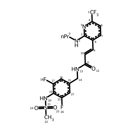 CCCNc1nc(C(F)(F)F)ccc1/C=C/C(=O)NCc1cc(F)c(NS(C)(=O)=O)c(F)c1